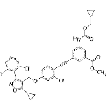 COC(=O)c1cc(C#Cc2ccc(OCc3c(-c4c(Cl)cccc4Cl)noc3C3CC3)cc2Cl)cc(NC(=O)OCC2CC2)c1